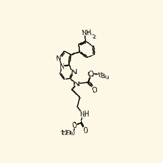 CC(C)(C)OC(=O)NCCCN(C(=O)OC(C)(C)C)c1ccn2ncc(-c3cccc(N)c3)c2n1